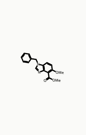 COC(=O)c1c(OC)ccc2c1ncn2Cc1ccccc1